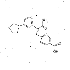 NC(=O)N(Cc1ccc(C(=O)O)cc1)c1cccc(C2CCCC2)c1